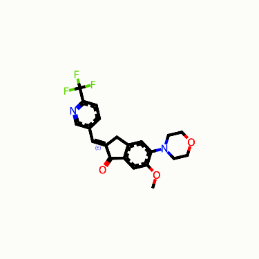 COc1cc2c(cc1N1CCOCC1)C/C(=C\c1ccc(C(F)(F)F)nc1)C2=O